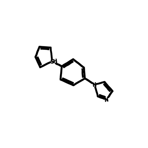 C1=C[SH](c2ccc(-n3ccnc3)cc2)C=C1